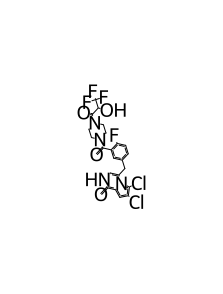 O=C(c1cc(Cc2c[nH]c(=O)c3cc(Cl)c(Cl)n23)ccc1F)N1CCN(C(=O)C(O)C(F)(F)F)CC1